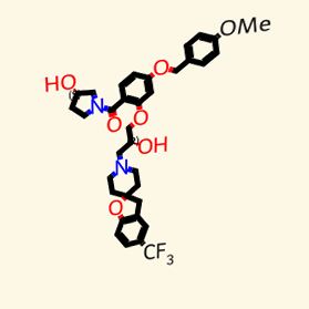 COc1ccc(COc2ccc(C(=O)N3CC[C@H](O)C3)c(OC[C@H](O)CN3CCC4(CC3)Cc3cc(C(F)(F)F)ccc3O4)c2)cc1